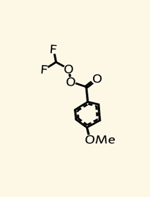 COc1ccc(C(=O)OOC(F)F)cc1